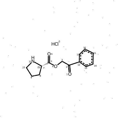 Cl.O=C(COC(=O)[C@@H]1CCCN1)c1ccccc1